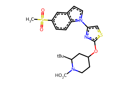 CC(C)(C)C1CC(Oc2nc(-n3ccc4cc(S(C)(=O)=O)ccc43)cs2)CCN1C(=O)O